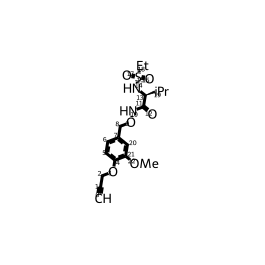 C#CCOc1ccc(CONC(=O)[C@@H](NS(=O)(=O)CC)C(C)C)cc1OC